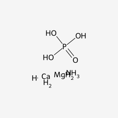 N.O=P(O)(O)O.[CaH2].[H].[MgH2]